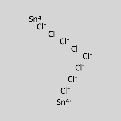 [Cl-].[Cl-].[Cl-].[Cl-].[Cl-].[Cl-].[Cl-].[Cl-].[Sn+4].[Sn+4]